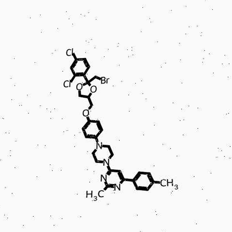 Cc1ccc(-c2cc(N3CCN(c4ccc(OCC5COC(CBr)(c6ccc(Cl)cc6Cl)O5)cc4)CC3)nc(C)n2)cc1